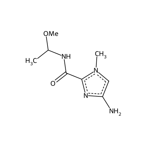 COC(C)NC(=O)c1nc(N)cn1C